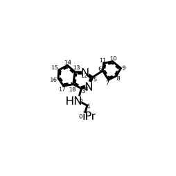 CC(C)CNc1nc(-c2ccccc2)nc2ccccc12